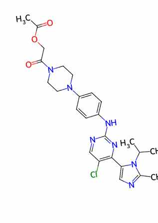 CC(=O)OCC(=O)N1CCN(c2ccc(Nc3ncc(Cl)c(-c4cnc(C)n4C(C)C)n3)cc2)CC1